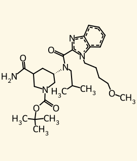 COCCCCn1c(C(=O)N(CC(C)C)[C@H]2CC(C(N)=O)CN(C(=O)OC(C)(C)C)C2)nc2ccccc21